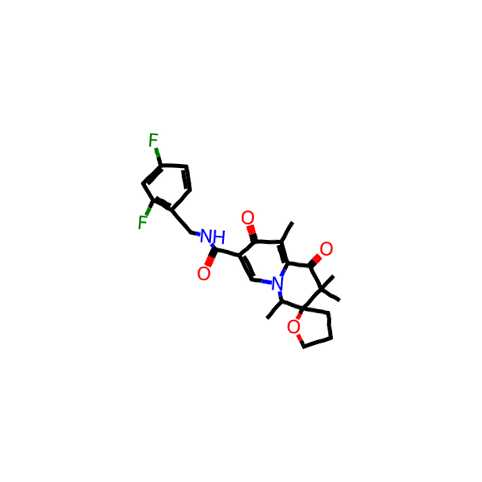 Cc1c2n(cc(C(=O)NCc3ccc(F)cc3F)c1=O)C(C)C1(CCCO1)C(C)(C)C2=O